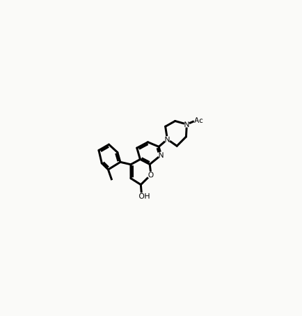 CC(=O)N1CCN(c2ccc3c(n2)OC(O)C=C3c2ccccc2C)CC1